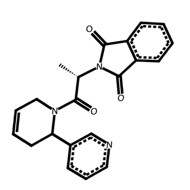 C[C@@H](C(=O)N1CC=CCC1c1cccnc1)N1C(=O)c2ccccc2C1=O